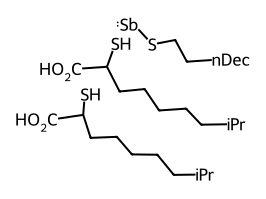 CC(C)CCCCCC(S)C(=O)O.CC(C)CCCCCC(S)C(=O)O.CCCCCCCCCCCC[S][Sb]